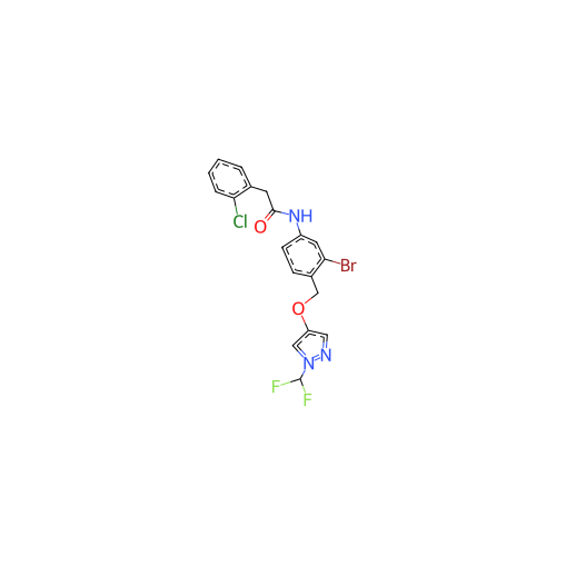 O=C(Cc1ccccc1Cl)Nc1ccc(COc2cnn(C(F)F)c2)c(Br)c1